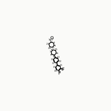 O=C[C@H]1CC[C@H](C2CCC(c3ccc(-c4ccc(F)c(F)c4)cc3)CC2)CC1